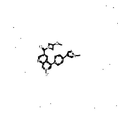 COC1CN(C(=O)c2cnc3c[n+]([O-])cc(-c4ccc(-c5cnn(C)c5)cc4)c3c2)C1